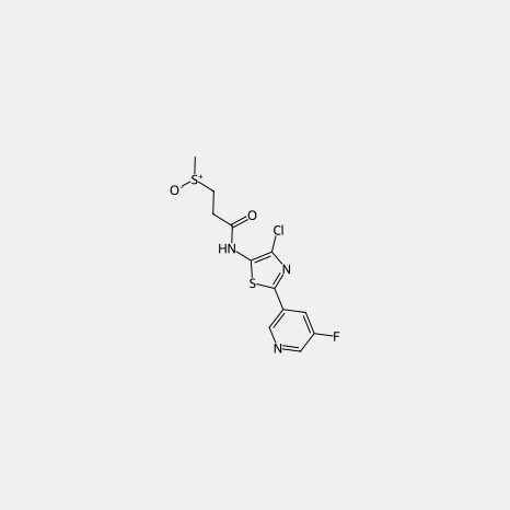 C[S+]([O-])CCC(=O)Nc1sc(-c2cncc(F)c2)nc1Cl